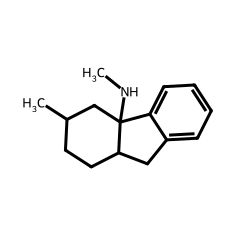 CNC12CC(C)CCC1Cc1ccccc12